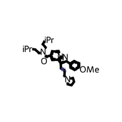 COc1ccc(-c2nn3ccc(C(=O)N(CCC(C)C)CCC(C)C)cc3c2/C=C/CN2CCCC2)cc1